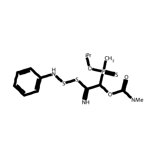 CNC(=O)OC(C(=N)SSNc1ccccc1)P(C)(=S)OC(C)C